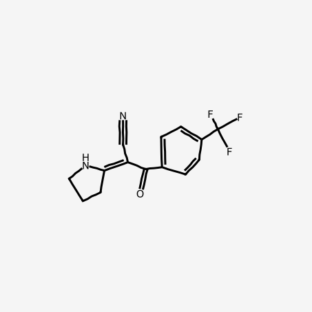 N#CC(C(=O)c1ccc(C(F)(F)F)cc1)=C1CCCN1